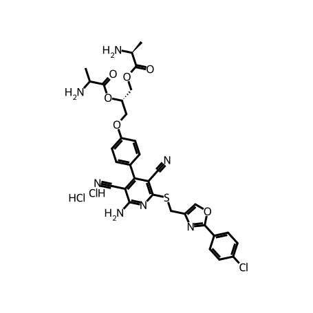 CC(N)C(=O)O[C@H](COC(=O)[C@H](C)N)COc1ccc(-c2c(C#N)c(N)nc(SCc3coc(-c4ccc(Cl)cc4)n3)c2C#N)cc1.Cl.Cl